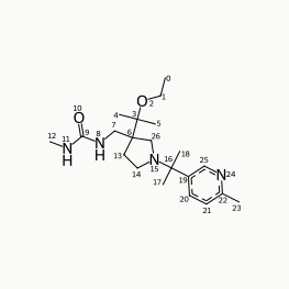 CCOC(C)(C)C1(CNC(=O)NC)CCN(C(C)(C)c2ccc(C)nc2)C1